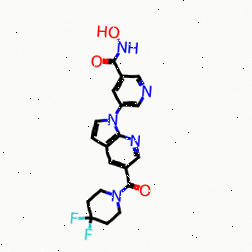 O=C(NO)c1cncc(-n2ccc3cc(C(=O)N4CCC(F)(F)CC4)cnc32)c1